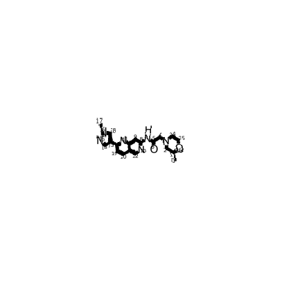 C[C@H]1CN(CC(=O)Nc2cc3nc(-c4cnn(C)c4)ccc3cn2)CCO1